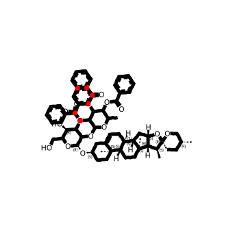 CC1OC(OC2C(OC(=O)c3ccccc3)[C@H](O)C(CO)O[C@H]2O[C@H]2CC[C@@]3(C)C(=CC[C@H]4[C@@H]5C[C@@H]6O[C@]7(CC[C@@H](C)CO7)[C@@H](C)[C@@H]6[C@@]5(C)CC[C@@H]43)C2)C(OC(=O)c2ccccc2)C(OC(=O)c2ccccc2)C1OC(=O)c1ccccc1